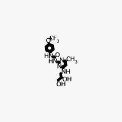 Cc1cc(NCC(O)CO)nc(NC(=O)Nc2ccc(OC(F)(F)F)cc2)n1